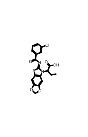 CCC(C(=O)O)n1c(=NC(=O)c2cccc(Cl)c2)sc2cc3c(cc21)OCO3